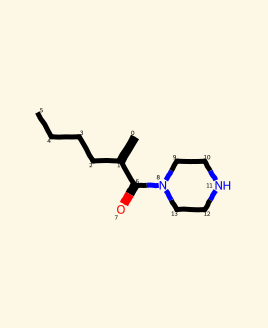 C=C(CCCC)C(=O)N1CCNCC1